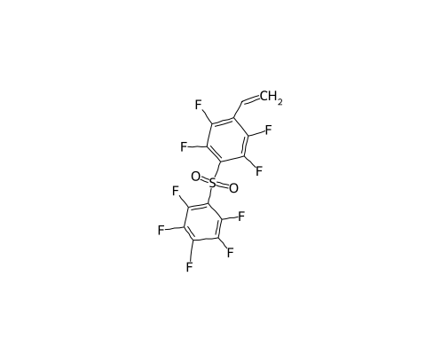 C=Cc1c(F)c(F)c(S(=O)(=O)c2c(F)c(F)c(F)c(F)c2F)c(F)c1F